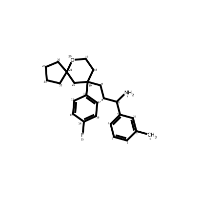 Cc1cccc(C(N)CCC2(c3ccc(F)cc3)CCOC3(CCCC3)C2)c1